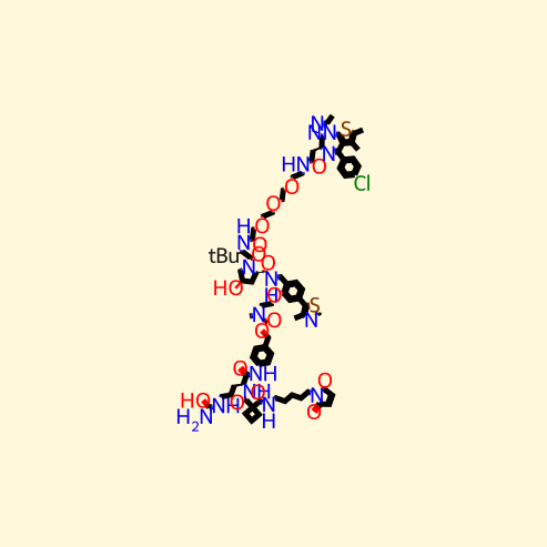 Cc1ncsc1-c1ccc(CNC(=O)[C@@H]2C[C@@H](O)CN2C(=O)[C@@H](NC(=O)COCCOCCOCCNC(=O)C[C@@H]2N=C(c3ccc(Cl)cc3)c3c(sc(C)c3C)-n3c(C)nnc32)C(C)(C)C)c(OCCN(C)C(=O)OCc2ccc(NC(=O)[C@H](CCCNC(N)O)NC(=O)C3(C(=O)NCCCCCN4C(=O)C=CC4=O)CCC3)cc2)c1